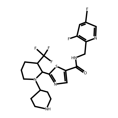 O=C(NCc1ncc(F)cc1F)c1cnc(C2C(C(F)(F)F)CCCN2C2CCNCC2)s1